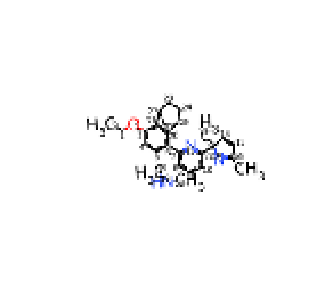 CCOc1ccc(-c2cccc(C3(C)C=CC(C)=N3)n2)c2c1C1CCC2C1.CNC